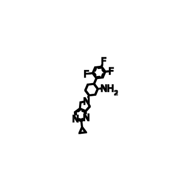 N[C@H]1C[C@@H](N2Cc3cnc(C4CC4)nc3C2)CCC1c1cc(F)c(F)cc1F